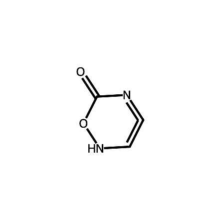 O=C1N=C=CNO1